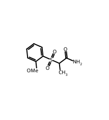 COc1ccccc1S(=O)(=O)C(C)C(N)=O